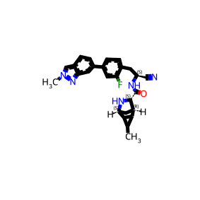 CC1C2C1[C@H]1C[C@@H]2N[C@@H]1C(=O)N[C@H](C#N)Cc1ccc(-c2ccc3cn(C)nc3c2)cc1F